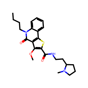 CCCCn1c(=O)c2c(OC)c(C(=O)NCCC3CCCN3C)sc2c2ccccc21